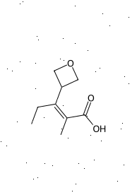 CCC(=C(C)C(=O)O)C1COC1